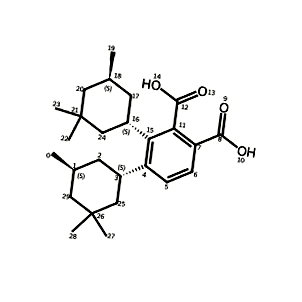 C[C@H]1C[C@H](c2ccc(C(=O)O)c(C(=O)O)c2[C@H]2C[C@H](C)CC(C)(C)C2)CC(C)(C)C1